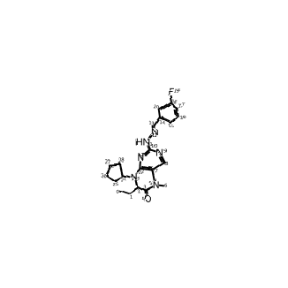 CCC1C(=O)N(C)c2cnc(NN=Cc3cccc(F)c3)nc2N1C1CCCC1